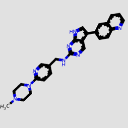 CN1CCN(c2ccc(CNc3ncc4c(-c5ccc6ncccc6c5)c[nH]c4n3)cn2)CC1